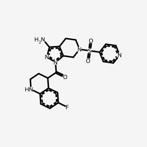 Nc1nn(C(=O)C2CCNc3ccc(F)cc32)c2c1CCN(S(=O)(=O)c1ccncc1)C2